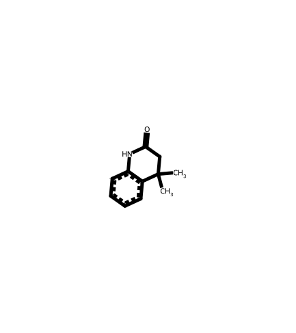 CC1(C)CC(=O)Nc2[c]cccc21